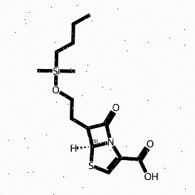 CCCC[Si](C)(C)OCCC1C(=O)N2C(C(=O)O)=CS[C@@H]12